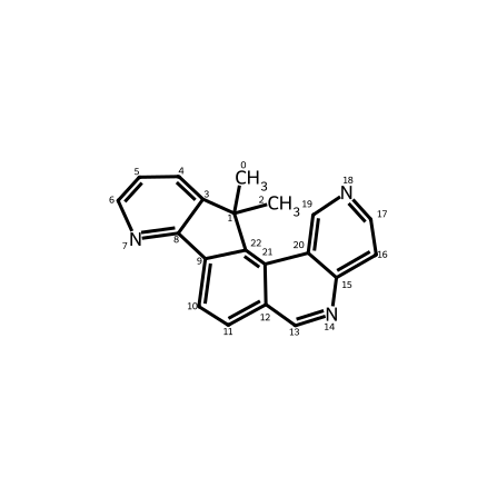 CC1(C)c2cccnc2-c2ccc3cnc4ccncc4c3c21